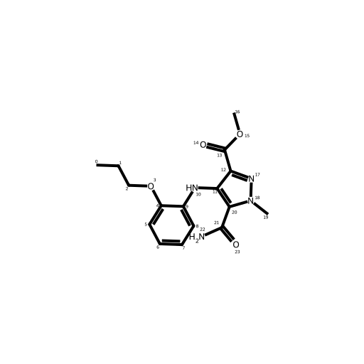 CCCOc1ccccc1Nc1c(C(=O)OC)nn(C)c1C(N)=O